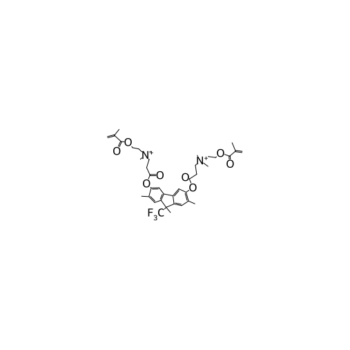 C=C(C)C(=O)OCC[N+](C)(C)CCC(=O)Oc1cc2c(cc1C)C(C)(C(F)(F)F)c1cc(C)c(OC(=O)CC[N+](C)(C)CCOC(=O)C(=C)C)cc1-2